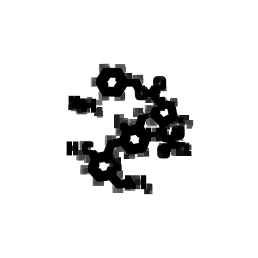 CCS(=O)(=O)N[C@H]1[C@@H](F)CN(C(=O)OCc2ccccc2)[C@H]1Cc1cccc(Cc2nc(CN)ccc2C)c1F.[BH4-].[Na+]